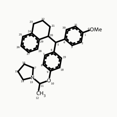 COc1ccc(C(c2ccc(OC(C)N3CCCC3)cc2)C2CCCc3ccccc32)cc1